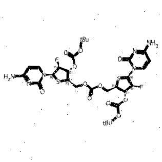 CC(C)(C)OC(=O)O[C@H]1[C@H](F)[C@H](n2ccc(N)nc2=O)S[C@@H]1COC(=O)OC[C@H]1S[C@@H](n2ccc(N)nc2=O)[C@@H](F)[C@@H]1OC(=O)OC(C)(C)C